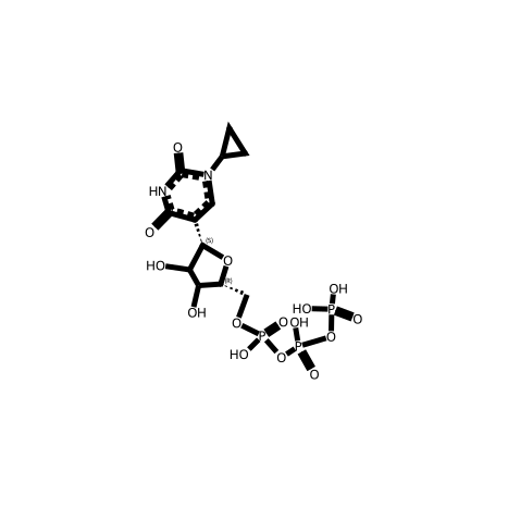 O=c1[nH]c(=O)n(C2CC2)cc1[C@@H]1O[C@H](COP(=O)(O)OP(=O)(O)OP(=O)(O)O)C(O)C1O